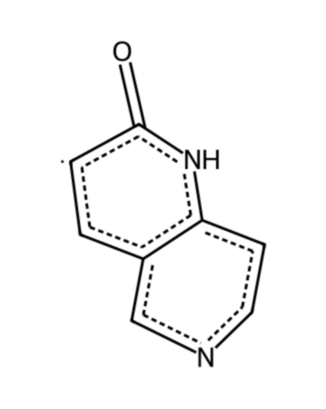 O=c1[c]cc2cnccc2[nH]1